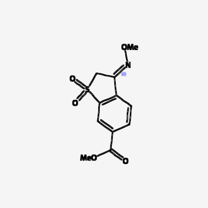 CO/N=C1\CS(=O)(=O)c2cc(C(=O)OC)ccc21